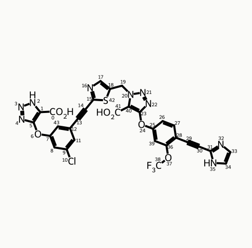 O=C(O)c1[nH]nnc1Oc1cc(Cl)cc(C#Cc2ncc(Cn3nnc(Oc4ccc(C#Cc5ncc[nH]5)c(OC(F)(F)F)c4)c3C(=O)O)s2)c1